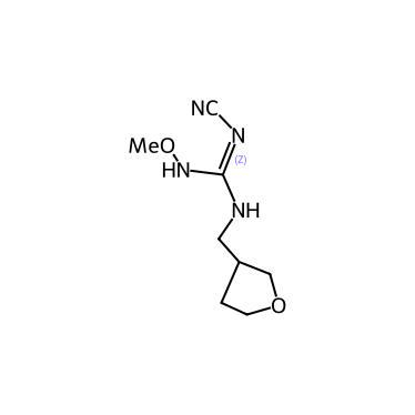 CON/C(=N\C#N)NCC1CCOC1